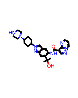 CC(C)(O)c1cc2nn(C3CCC(N4CCNCC4)CC3)cc2cc1NC(=O)c1cnn2cccnc12